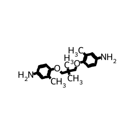 Cc1cc(N)ccc1OCC(C)(C)COc1ccc(N)cc1C